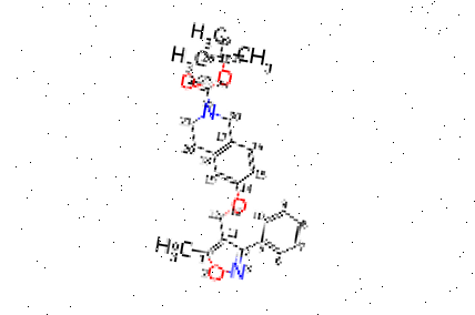 Cc1onc(-c2ccccc2)c1COc1ccc2c(c1)CCN(C(=O)OC(C)(C)C)C2